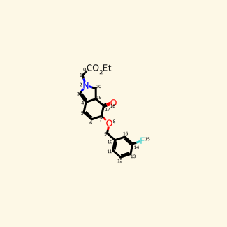 CCOC(=O)CN1C=C2C=CC(OCc3cccc(F)c3)C(=O)C2C1